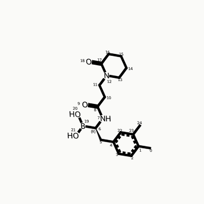 Cc1ccc(C[C@H](NC(=O)CCN2CCCCC2=O)B(O)O)cc1C